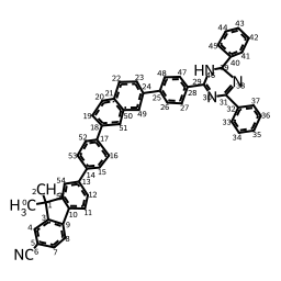 CC1(C)c2cc(C#N)ccc2-c2ccc(-c3ccc(-c4ccc5ccc(-c6ccc(C7=NC(c8ccccc8)=NC(c8ccccc8)N7)cc6)cc5c4)cc3)cc21